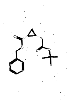 CC(C)(C)OC(=O)C[C@H]1C[C@H]1C(=O)OCc1ccccc1